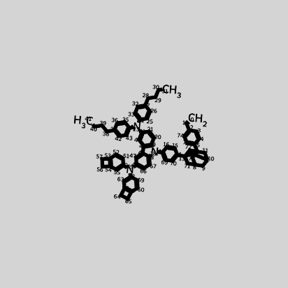 C=Cc1ccc(C23CC4CC(C2)CC(c2ccc(-n5c6ccc(N(c7ccc(CCCC)cc7)c7ccc(CCCC)cc7)cc6c6cc(N(c7ccc8c(c7)CC8)c7ccc8c(c7)CC8)ccc65)cc2)(C4)C3)cc1